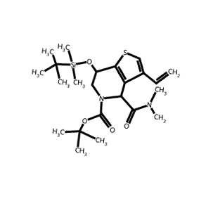 C=Cc1csc2c1C(C(=O)N(C)C)N(C(=O)OC(C)(C)C)CC2O[Si](C)(C)C(C)(C)C